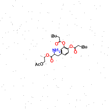 CCC(C)CC(=O)Oc1ccc(C[C@H](N)C(=O)O[C@@H](C)COC(C)=O)cc1OC(=O)CC(C)CC